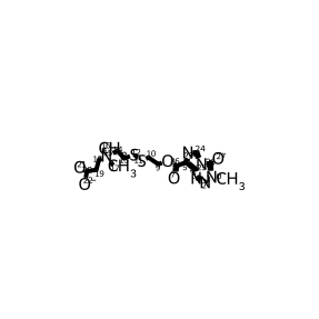 Cn1nnc2c(C(=O)OCCSSCC[N+](C)(C)CCC(=O)[O-])ncn2c1=O